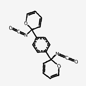 O=C=NC1(c2ccc(C3(N=C=O)C=CC=CO3)cc2)C=CC=CO1